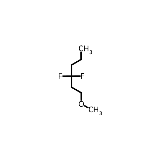 CCCC(F)(F)CCOC